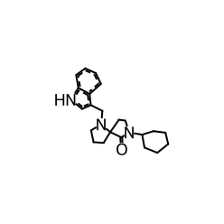 O=C1N(C2CCCCC2)CCC12CCCN2Cc1c[nH]c2ccccc12